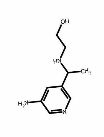 CC(NCCO)c1cncc(N)c1